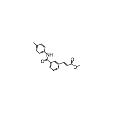 COC(=O)/C=C/c1cccc(C(=O)Nc2ccc(C)cc2)c1